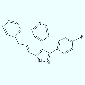 Fc1ccc(-c2n[nH]c(C=CCc3cccnc3)c2-c2ccncc2)cc1